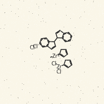 C1=CC(C2C=Cc3ccccc32)c2ccccc21.[CH3][Zr+2][C]1=CC=CC1.[Cl-].[Cl-].[Cl][Zr]([Cl])[C]1=CC=CC1